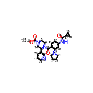 CC(C)(C)OC(=O)N1CCN(C(=O)c2ccc(NC(=O)C3CC3)cc2N2CCCC2)C(c2cccnc2)C1